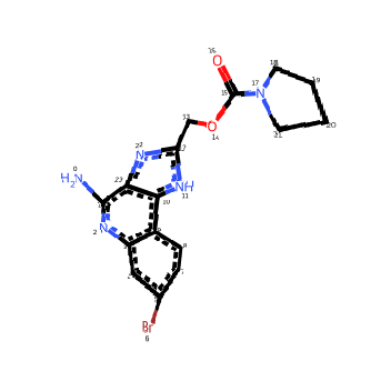 Nc1nc2cc(Br)ccc2c2[nH]c(COC(=O)N3CCCC3)nc12